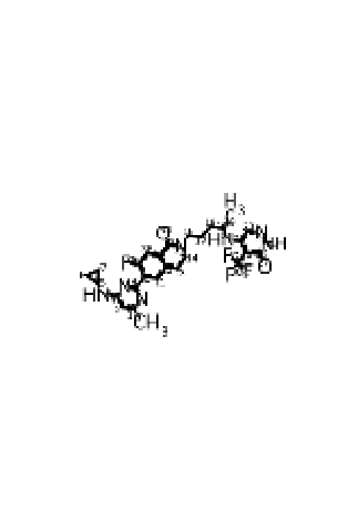 Cc1cc(NC2CC2)nc(-c2cc3ccn(CCCC(C)Nc4cn[nH]c(=O)c4C(F)(F)F)c(=O)c3cc2F)n1